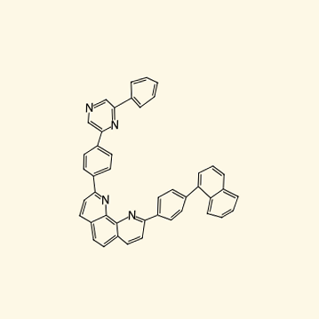 c1ccc(-c2cncc(-c3ccc(-c4ccc5ccc6ccc(-c7ccc(-c8cccc9ccccc89)cc7)nc6c5n4)cc3)n2)cc1